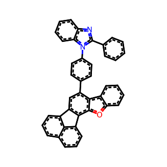 c1ccc(-c2nc3ccccc3n2-c2ccc(-c3cc4c(c5oc6ccccc6c35)-c3cccc5cccc-4c35)cc2)cc1